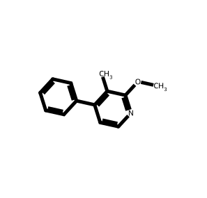 COc1nccc(-c2ccccc2)c1C